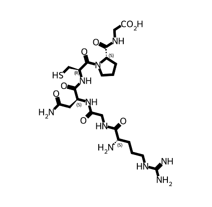 N=C(N)NCCC[C@H](N)C(=O)NCC(=O)N[C@@H](CC(N)=O)C(=O)N[C@@H](CS)C(=O)N1CCC[C@H]1C(=O)NCC(=O)O